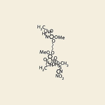 C=C1C[C@H]2C=Nc3cc(OCCCCCOc4cc5c(cc4OC)C(=O)N4CC(=C)C[C@H]4[C@H](O)N5C(=O)OC[C@@H](C)SSc4ccc([N+](=O)[O-])cn4)c(OC)cc3C(=O)N2C1